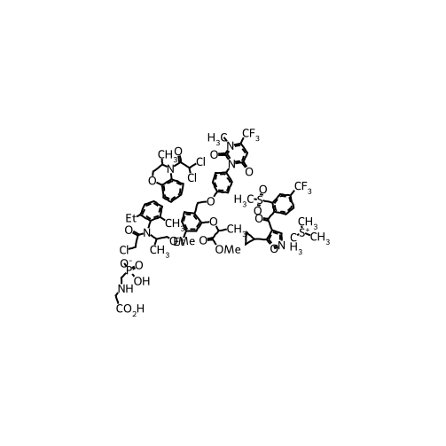 CC1COc2ccccc2N1C(=O)C(Cl)Cl.CCc1ccc(COc2ccc(-n3c(=O)cc(C(F)(F)F)n(C)c3=O)cc2)c(OC(C)C(=O)OC)c1.CCc1cccc(C)c1N(C(=O)CCl)C(C)COC.CS(=O)(=O)c1cc(C(F)(F)F)ccc1C(=O)c1cnoc1C1CC1.C[S+](C)C.O=C(O)CNCP(=O)([O-])O